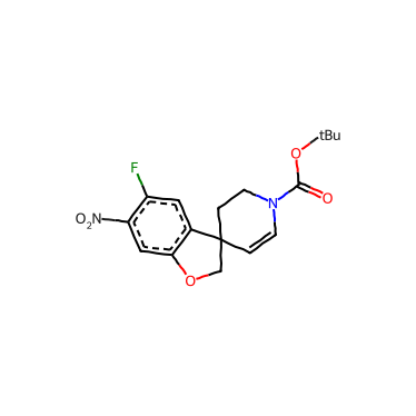 CC(C)(C)OC(=O)N1C=CC2(CC1)COc1cc([N+](=O)[O-])c(F)cc12